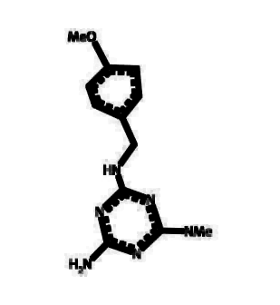 CNc1nc(N)nc(NCc2ccc(OC)cc2)n1